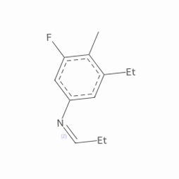 CC/C=N\c1cc(F)c(C)c(CC)c1